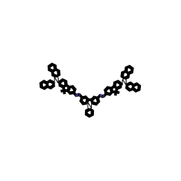 CC1(C)c2cc(/C=C/c3ccc4c(c3)c3cc(/C=C/c5ccc6c(c5)C(C)(C)c5cc(N(c7ccc8ccccc8c7)c7ccc8ccccc8c7)ccc5-6)ccc3n4-c3ccccc3)ccc2-c2ccc(N(c3ccc4ccccc4c3)c3ccc4ccccc4c3)cc21